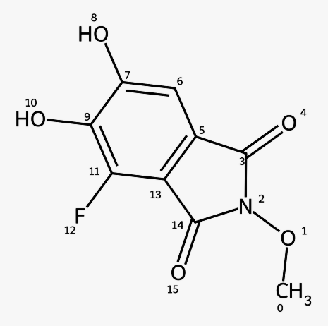 CON1C(=O)c2cc(O)c(O)c(F)c2C1=O